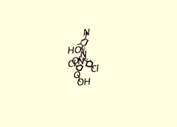 CC1C=C(C#N)C=CC1[C@H](O)CN1CC(=O)N(c2ccc(OCCO)cc2Cl)[C@H](c2ccc(Cl)cc2)C1